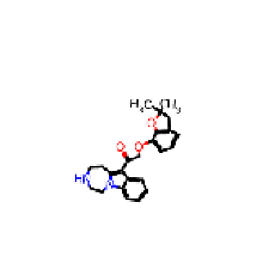 CC1(C)Cc2cccc(OCC(=O)c3c4n(c5ccccc35)CCNCC4)c2O1